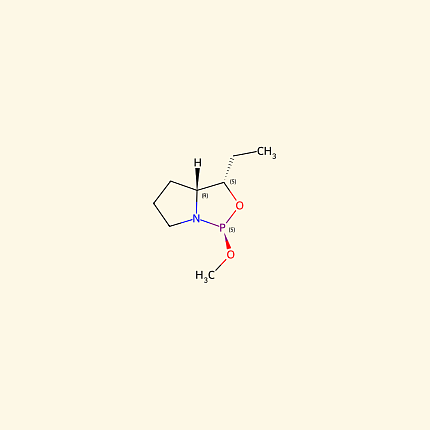 CC[C@@H]1O[P@@](OC)N2CCC[C@H]12